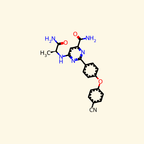 C[C@H](Nc1cc(C(N)=O)nc(-c2ccc(Oc3ccc(C#N)cc3)cc2)n1)C(N)=O